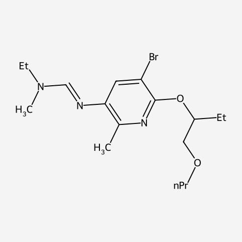 CCCOCC(CC)Oc1nc(C)c(N=CN(C)CC)cc1Br